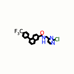 O=C(NCc1ccnc(Cl)n1)c1ccc2c(-c3ccc(C(F)(F)F)cc3)cccc2c1